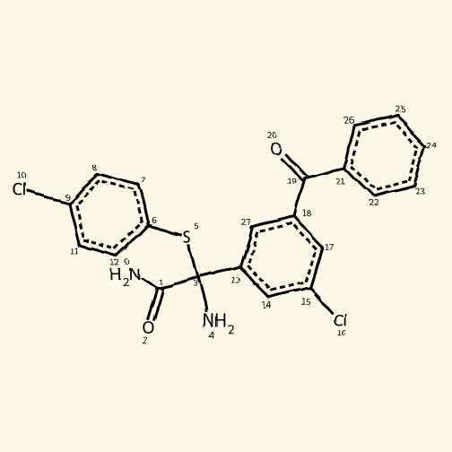 NC(=O)C(N)(Sc1ccc(Cl)cc1)c1cc(Cl)cc(C(=O)c2ccccc2)c1